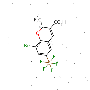 O=C(O)C1=Cc2cc(S(F)(F)(F)(F)F)cc(Br)c2O[C@@H]1C(F)(F)F